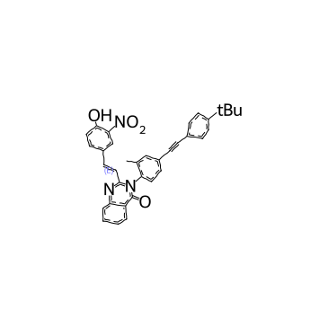 Cc1cc(C#Cc2ccc(C(C)(C)C)cc2)ccc1-n1c(/C=C/c2ccc(O)c([N+](=O)[O-])c2)nc2ccccc2c1=O